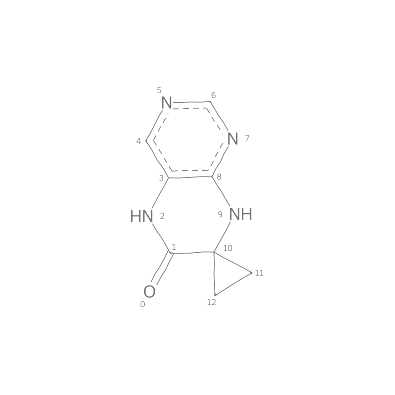 O=C1Nc2cncnc2NC12CC2